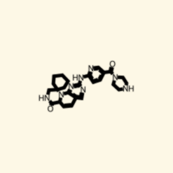 O=C1NCC2(CCCCC2)N2c3nc(Nc4ccc(C(=O)N5CCNCC5)cn4)ncc3C=CC12